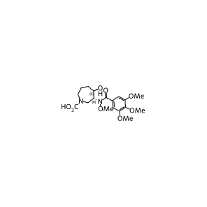 COc1cc(C(=O)N(OC)[C@@H]2CN(C(=O)O)CCC[C@H]2O)cc(OC)c1OC